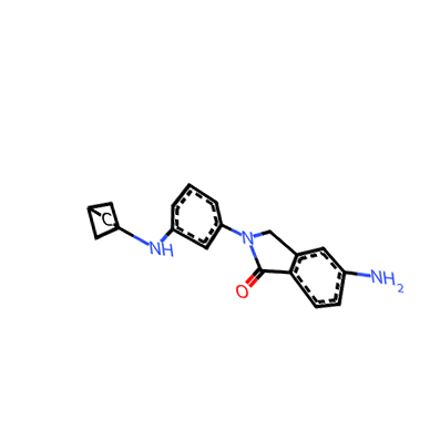 Nc1ccc2c(c1)CN(c1cccc(NC34CC(C3)C4)c1)C2=O